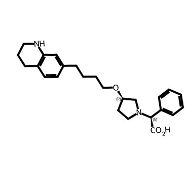 O=C(O)[C@H](c1ccccc1)N1CC[C@@H](OCCCCc2ccc3c(c2)NCCC3)C1